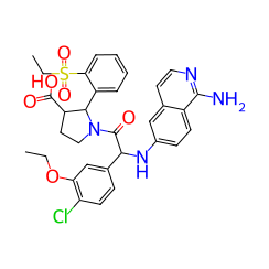 CCOc1cc(C(Nc2ccc3c(N)nccc3c2)C(=O)N2CCC(C(=O)O)C2c2ccccc2S(=O)(=O)CC)ccc1Cl